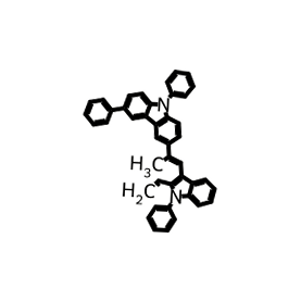 C=Cc1c(/C=C(\C)c2ccc3c(c2)c2cc(-c4ccccc4)ccc2n3-c2ccccc2)c2ccccc2n1-c1ccccc1